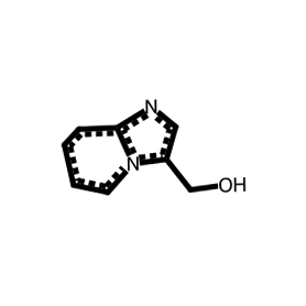 OCc1cnc2ccccn12